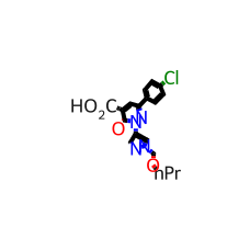 CCCOCn1cc(-n2nc(-c3ccc(Cl)cc3)cc(C(=O)O)c2=O)cn1